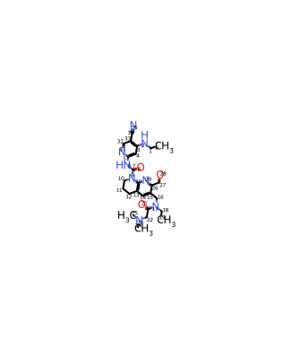 CCNc1cc(NC(=O)N2CCCc3cc(CN(CC)C(=O)CN(C)C)c(C=O)nc32)ncc1C#N